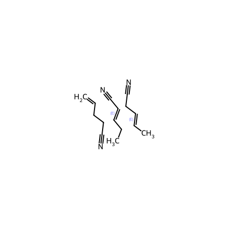 C/C=C/CC#N.C=CCCC#N.CC/C=C/C#N